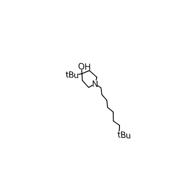 CC(C)(C)CCCCCCCN1CCC(O)(C(C)(C)C)CC1